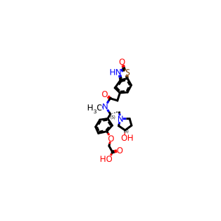 CN(C(=O)Cc1ccc2sc(=O)[nH]c2c1)[C@H](CN1CC[C@H](O)C1)c1cccc(OCC(=O)O)c1